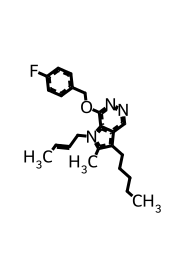 C/C=C/Cn1c(C)c(CCCCC)c2cnnc(OCc3ccc(F)cc3)c21